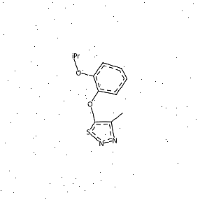 Cc1nnsc1Oc1ccccc1OC(C)C